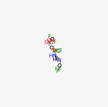 Cl.Cl.O=C(O)[C@H](Cc1ccc(OCCN[C@H]2C3CN(Cc4ccc(C(F)(F)F)cc4)C[C@@H]32)cc1)Oc1cc(F)ccc1F